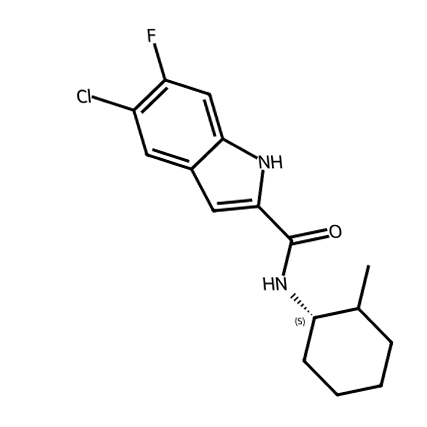 CC1CCCC[C@@H]1NC(=O)c1cc2cc(Cl)c(F)cc2[nH]1